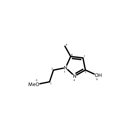 COCCn1nc(O)cc1C